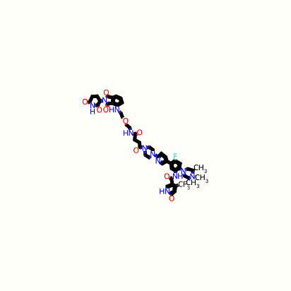 C[C@@H]1CN(c2cc(F)c(-c3ccc(N4CCN(C(=O)CCC(=O)NCCOCCNc5cccc6c5C(=O)N(C5CCC(=O)NC5=O)C6=O)CC4)nc3)cc2NC(=O)c2c[nH]c(=O)cc2C(F)(F)F)C[C@H](C)N1C